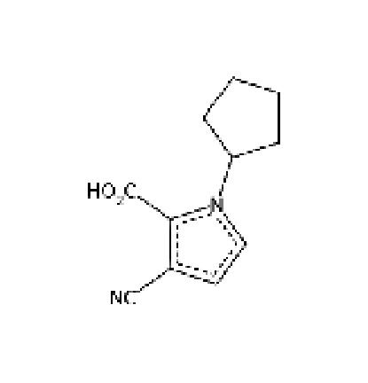 N#Cc1ccn(C2CCCC2)c1C(=O)O